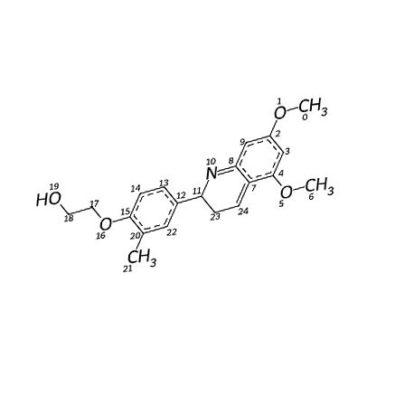 COc1cc(OC)c2c(c1)=NC(c1ccc(OCCO)c(C)c1)CC=2